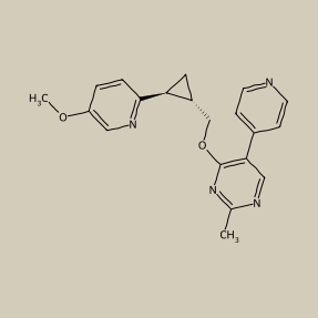 COc1ccc([C@H]2C[C@@H]2COc2nc(C)ncc2-c2ccncc2)nc1